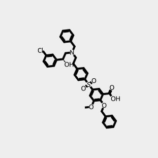 COc1cc(S(=O)(=O)c2ccc(CCN(Cc3ccccc3)C[C@H](O)c3cccc(Cl)c3)cc2)cc(C(=O)O)c1OCc1ccccc1